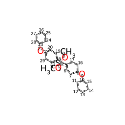 CO[Si](OC)(c1ccc(Oc2ccccc2)cc1)c1ccc(Oc2ccccc2)cc1